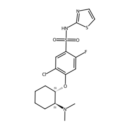 CN(C)[C@H]1CCCC[C@@H]1Oc1cc(F)c(S(=O)(=O)Nc2nccs2)cc1Cl